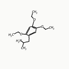 CCOc1cc(OCC)c(OCC)cc1CC(C)N